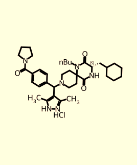 CCCCN1C(=O)[C@H](CC2CCCCC2)NC(=O)C12CCN(C(c1ccc(C(=O)N3CCCC3)cc1)c1c(C)n[nH]c1C)CC2.Cl